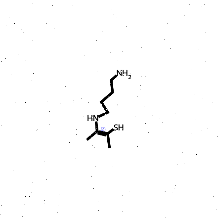 C/C(S)=C(\C)NCCCCN